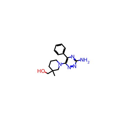 CC1(CO)CCCN(c2nnc(N)nc2-c2ccccc2)C1